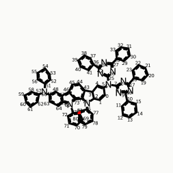 C1=CC2C(C=C1N(c1nc(-c3ccccc3)nc(-c3ccccc3)n1)c1nc(-c3ccccc3)nc(-c3ccccc3)n1)c1ccc3c4cc(N(c5ccccc5)c5ccccc5)ccc4n(-c4ccccc4)c3c1N2c1ccccc1